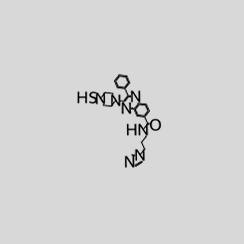 O=C(NCCCn1ccnc1)c1ccc2nc(-c3ccccc3)c(N3CCN(S)CC3)nc2c1